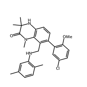 COc1ccc(Cl)cc1-c1ccc2c(c1CNc1cc(C)ccc1C)N(C)C(=O)C(C)(C)N2